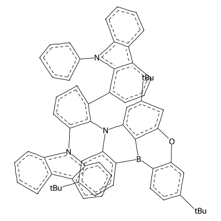 CC(C)(C)c1ccc2c(c1)Oc1cc(C(C)(C)C)cc3c1B2c1ccc(C(C)(C)C)cc1N3c1c(-c2cccc3c4ccccc4n(-c4ccccc4)c23)cccc1-n1c2ccccc2c2ccccc21